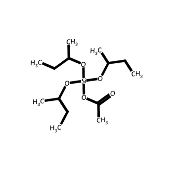 CCC(C)O[Si](OC(C)=O)(OC(C)CC)OC(C)CC